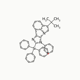 CC(C)(C)c1cn2c3c1cccc3c1nc([Si](c3ccccc3)(c3ccccc3)c3ccccc3)n(-c3ccccc3)c12